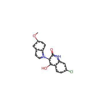 COc1ccc2c(ccn2-c2c(O)c3ccc(Cl)cc3[nH]c2=O)c1